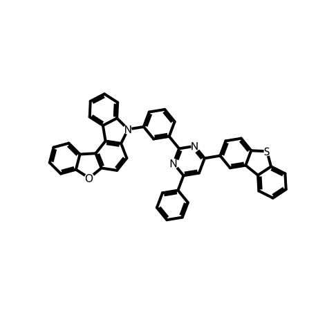 c1ccc(-c2cc(-c3ccc4sc5ccccc5c4c3)nc(-c3cccc(-n4c5ccccc5c5c6c(ccc54)oc4ccccc46)c3)n2)cc1